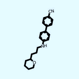 N#Cc1ccc(-c2ccc(NCCCC3CCCCO3)cc2)cc1